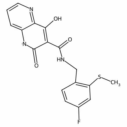 CSc1cc(F)ccc1CNC(=O)C1=C(O)c2ncccc2[N]C1=O